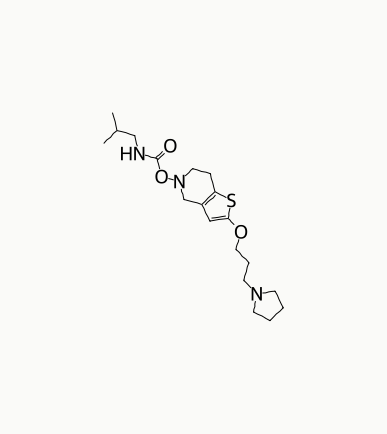 CC(C)CNC(=O)ON1CCc2sc(OCCCN3CCCC3)cc2C1